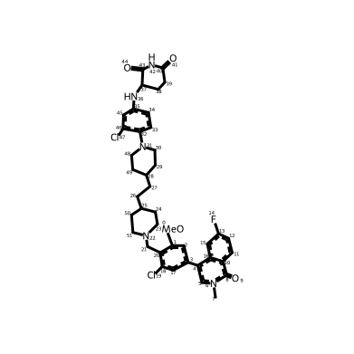 COc1cc(-c2cn(C)c(=O)c3ccc(F)cc23)cc(Cl)c1CN1CCC(CCC2CCN(c3ccc(NC4CCC(=O)NC4=O)cc3Cl)CC2)CC1